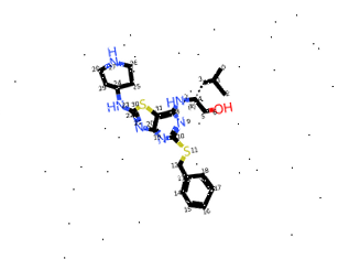 CC(C)C[C@H](CO)Nc1nc(SCc2ccccc2)nc2nc(NC3CCNCC3)sc12